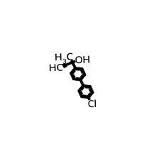 C#CC(C)(O)c1ccc(-c2ccc(Cl)cc2)cc1